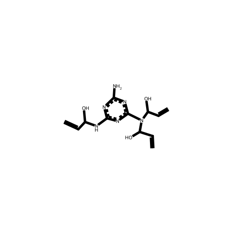 C=CC(O)Nc1nc(N)nc(N(C(O)C=C)C(O)C=C)n1